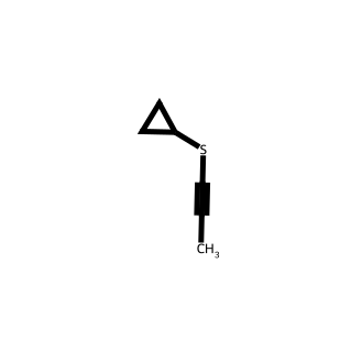 CC#CS[C]1CC1